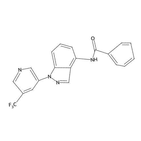 O=C(Nc1cccc2c1cnn2-c1cncc(C(F)(F)F)c1)c1ccccc1